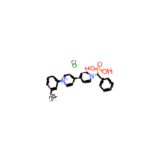 CCCc1cccc(-[n+]2ccc(-c3cc[n+](C(c4ccccc4)P(=O)(O)O)cc3)cc2)c1.[Cl-].[Cl-]